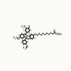 COC(=O)CCCCCCCCCOc1ccc(CC(NC(=O)c2ccc(F)c(C(F)(F)F)c2)(c2cccc(OC(F)(F)F)c2)c2cccc(OC(F)(F)F)c2)cc1